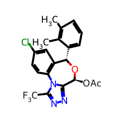 CC(=O)O[C@@H]1O[C@@H](c2cccc(C)c2C)c2cc(Cl)ccc2-n2c1nnc2C(F)(F)F